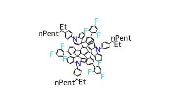 CCCCCC(CC)c1ccc(N2c3ccccc3C3(c4cc(-c5c(F)cc(F)cc5F)ccc4-c4c3c3c(c5c4C4(c6cc(-c7c(F)cc(F)cc7F)ccc6-5)c5ccccc5N(c5ccc(C(CC)CCCCC)cc5)c5ccccc54)C4(c5cc(-c6c(F)cc(F)cc6F)ccc5-3)c3ccccc3N(c3ccc(C(CC)CCCCC)cc3)c3ccccc34)c3ccccc32)cc1